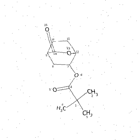 CC(C)(C)C(=O)OC1CC2CCC1OC2=O